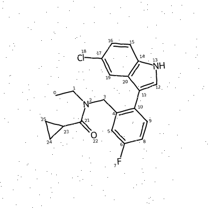 CCN(Cc1cc(F)ccc1-c1c[nH]c2ccc(Cl)cc12)C(=O)C1CC1